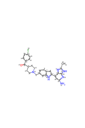 Cc1nc2c(-c3cc4ccc(CN5CCC(C(=O)c6ccc(F)cc6)CC5)cc4[nH]3)cc(N)nc2[nH]1